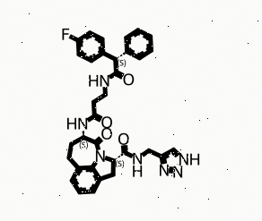 O=C(CCNC(=O)[C@@H](c1ccccc1)c1ccc(F)cc1)N[C@H]1CCc2cccc3c2N(C1=O)[C@H](C(=O)NCc1c[nH]nn1)C3